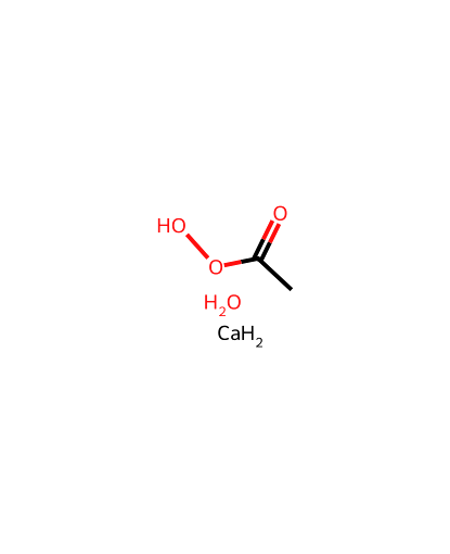 CC(=O)OO.O.[CaH2]